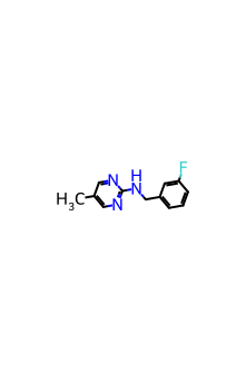 Cc1cnc(NCc2cccc(F)c2)nc1